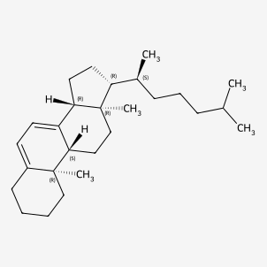 CC(C)CCC[C@H](C)[C@H]1CC[C@H]2C3=CC=C4CCCC[C@]4(C)[C@H]3CC[C@]12C